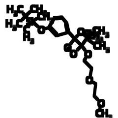 COCCOCCOC1(C(C)(C)C)OOC1(OC)c1cccc(O[Si](C)(C)C(C)(C)C)c1